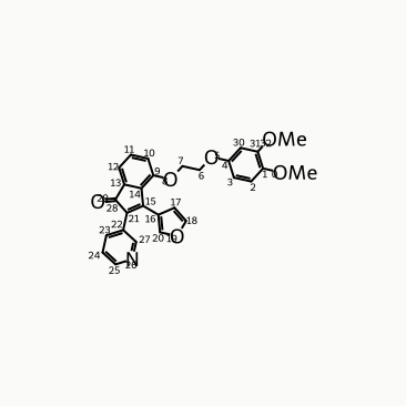 COc1ccc(OCCOc2cccc3c2C(c2ccoc2)=C(c2cccnc2)C3=O)cc1OC